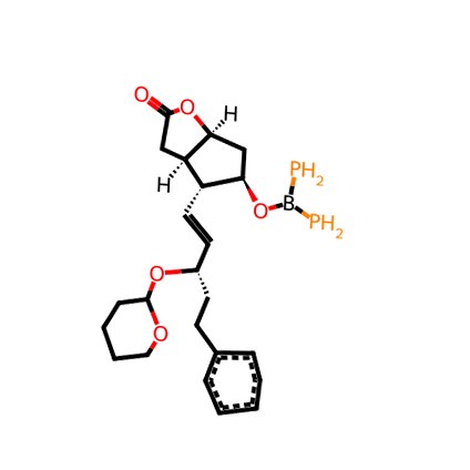 O=C1C[C@@H]2[C@@H](/C=C/[C@H](CCc3ccccc3)OC3CCCCO3)[C@H](OB(P)P)C[C@@H]2O1